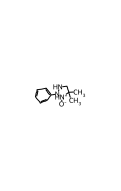 CC1(C)CNN(c2ccccc2)[NH+]1[O-]